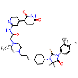 CC1(C)C(=O)N(c2ccc(C#N)c(C(F)(F)F)c2)C(=S)N1[C@H]1CC[C@H](CCCN2CCN(CC(=O)Nc3cc(C4CCC(=O)NC4=O)ccn3)[C@@H](C(F)(F)F)C2)CC1